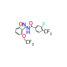 O=C(Nc1noc2cccc(OCC(F)(F)F)c12)c1ccc(C(F)(F)F)c(F)c1